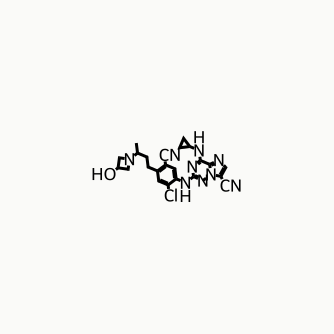 CC(CCc1cc(Cl)c(Nc2nc(NC3CC3)c3ncc(C#N)n3n2)cc1C#N)N1CC(O)C1